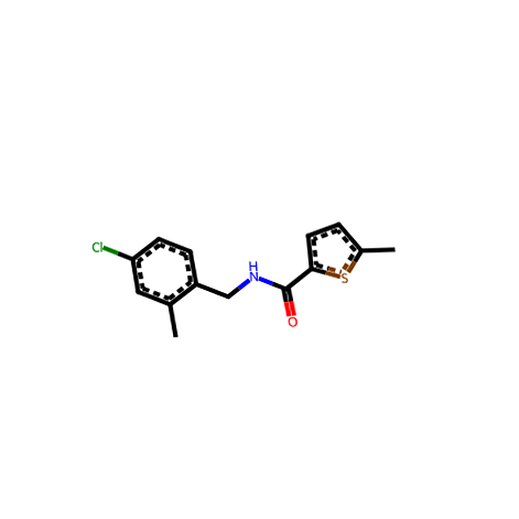 Cc1ccc(C(=O)NCc2ccc(Cl)cc2C)s1